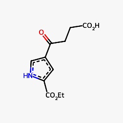 CCOC(=O)c1cc(C(=O)CCC(=O)O)c[nH]1